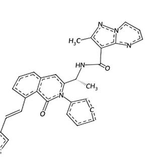 Cc1nn2cccnc2c1C(=O)N[C@H](C)c1cc2cccc(/C=C/c3cscn3)c2c(=O)n1-c1ccccc1